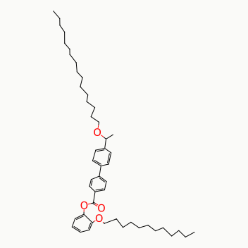 CCCCCCCCCCCCCCCCOC(C)c1ccc(-c2ccc(C(=O)Oc3ccccc3OCCCCCCCCCCCC)cc2)cc1